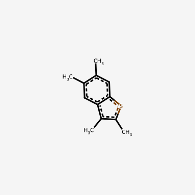 Cc1cc2sc(C)c(C)c2cc1C